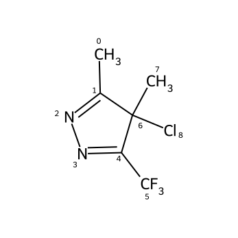 CC1=NN=C(C(F)(F)F)C1(C)Cl